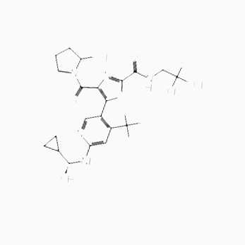 CC1CCCN1C(=O)c1nc(C(=O)NCC(C)(C)O)sc1-c1cnc(N[C@@H](C)C2CC2)cc1C(F)(F)F